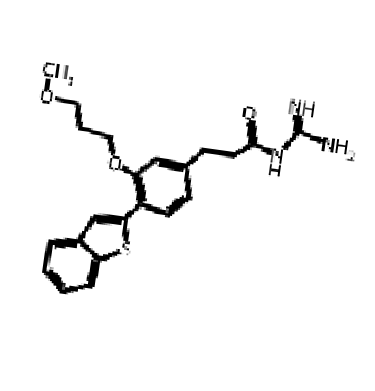 COCCCOc1cc(CCC(=O)NC(=N)N)ccc1-c1cc2ccccc2s1